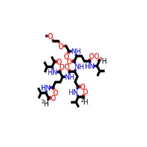 [2H]C(=O)C(NC(=O)CCC(NC(=O)COCCOC)C(=O)NC(CCC(=O)NC(C([2H])=O)C(C)C)C(=O)NC(CCC(=O)NC(C([2H])=O)C(C)C)C(=O)NC(C(C)=O)C(C)C)C(C)C